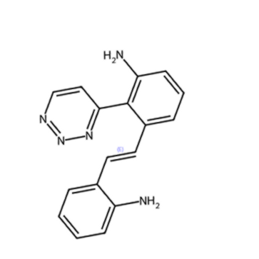 Nc1ccccc1/C=C/c1cccc(N)c1-c1ccnnn1